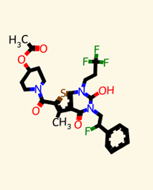 CC(=O)OC1CCN(C(=O)c2sc3c(c2C)C(=O)N(CC(F)c2ccccc2)C(O)N3CCC(F)(F)F)CC1